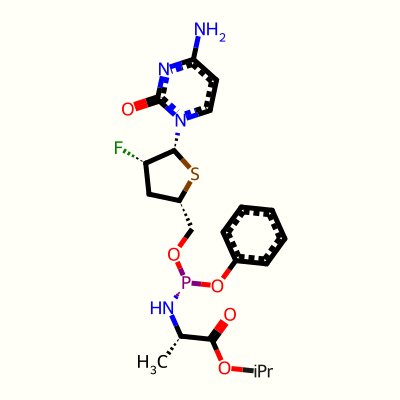 CC(C)OC(=O)[C@H](C)N[P@](OC[C@@H]1C[C@H](F)[C@H](n2ccc(N)nc2=O)S1)Oc1ccccc1